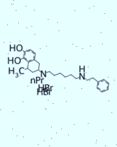 Br.Br.CCCN(CCCCCCNCCc1ccccc1)C1Cc2ccc(O)c(O)c2C(C)C1